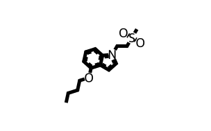 CCCCOc1cccc2c1ccn2CCS(C)(=O)=O